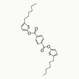 CCCCCCc1ccc(OC(=O)c2ccc(C(=O)Oc3ccc(CCCCCC)s3)cc2)s1